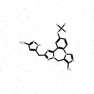 Cc1cc(Cc2nc3n(n2)Cc2c(C)ncn2-c2ccc(OC(F)(F)F)cc2-3)[nH]n1